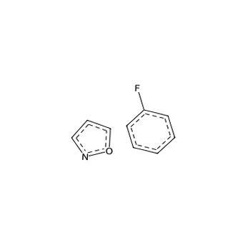 Fc1ccccc1.c1cnoc1